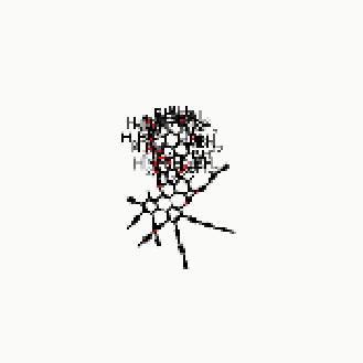 BBB(B)B(B(B)B)C1=C(B(B(B)B)B(B)B)C(B(BB)B(B)B)C(B(B)B(B)B)c2c1c(B)c(BB)c(B(B)B)c2-c1c(C)c(C)c(C)c2c(C)c3c(-c4c(C#CC#CC#CC#CC#C)c5c(C)c(C#C)c(C#CC)c(C#CC#C)c5c5c(C#CC#CC)c(C#CC#CC#C)c(C#CC#CC#CC)c(C#CC#CC#CC#C)c45)c(C)c(C)c(C)c3c(C)c12